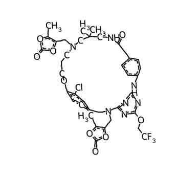 Cc1oc(=O)oc1CN1CCCOc2ccc(cc2Cl)CN(Cc2oc(=O)oc2C)c2nc(nc(OCC(F)(F)F)n2)Nc2ccc(cc2)C(=O)NCC(C)(C)C1